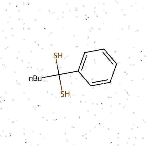 [CH2]CCCC(S)(S)c1ccccc1